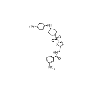 CCCc1ccc(NC2CCN(S(=O)(=O)c3ccc(CNC(=O)c4cccc([N+](=O)[O-])c4)s3)CC2)cc1